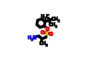 CC(CN)CS(=O)(=O)OC1CCCCC1C(C)(C)C